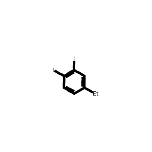 CCc1ccc(I)c(I)c1